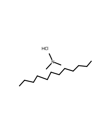 CCCCCCCCCCCC.CN(C)C.Cl